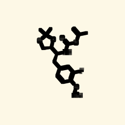 C=C(C)OC(=O)N[C@@H](Cc1ccc(OCCCC)c(F)c1)[C@H]1COC(C)(C)O1